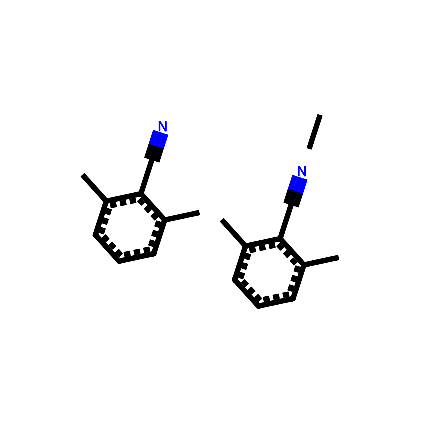 CC.Cc1cccc(C)c1C#N.Cc1cccc(C)c1C#N